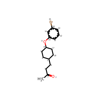 CC(=O)CCC1CCC(Oc2cccc(Br)c2)CC1